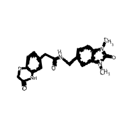 Cn1c(=O)n(C)c2cc(CNC(=O)Cc3ccc4c(c3)NC(=O)CO4)ccc21